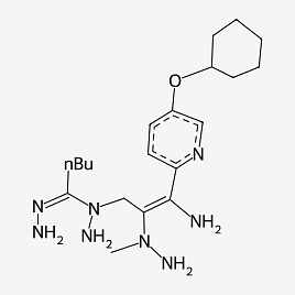 CCCC/C(=N/N)N(N)C/C(=C(/N)c1ccc(OC2CCCCC2)cn1)N(C)N